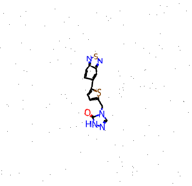 O=c1[nH]ncn1Cc1ccc(-c2ccc3nsnc3c2)s1